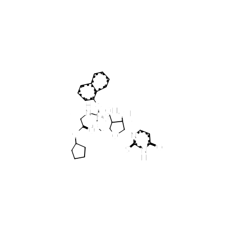 C[C@H](NP(=O)(OC[C@H]1O[C@@H](n2ccc(=O)[nH]c2=S)[C@](C)(O)C1O)Oc1cccc2ccccc12)C(=O)OC1CCCC1